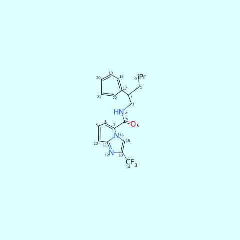 CC(C)CC(CNC(=O)c1cccc2nc(C(F)(F)F)cn12)c1ccccc1